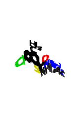 CC(=O)Nc1sc2c(c1C(N)=O)CC(C)c1ccc(Cl)cc1-2